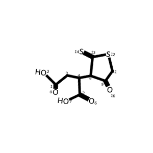 O=C(O)CC(C(=O)O)C1C(=O)CSC1=S